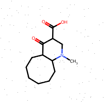 CN1CC(C(=O)O)C(=O)C2CCCCCCC21